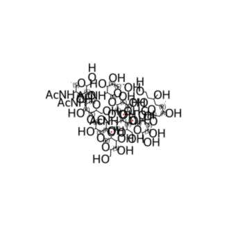 CC(=O)NC1C(O)[C@H](O)[C@H](CO)O[C@H]1OC1[C@@H](OCC2O[C@@H](O[C@@H]3C(CO)O[C@@H](O[C@@H]4C(CO)O[C@@H](C)C(NC(C)=O)[C@H]4O)C(NC(C)=O)[C@H]3O)C(O)[C@@H](O[C@H]3OC(CO)[C@@H](O)C(O)C3O[C@@H]3OC(CO)[C@H](O[C@@H]4OC(CO)[C@H](O)[C@H](O[C@]5(OC=O)C[C@@H](O)[C@@H](C)C(C(O)C(O)CO)O5)C4O)[C@H](O)C3NC(C)=O)[C@@H]2O)OC(CO)[C@@H](O)[C@@H]1O